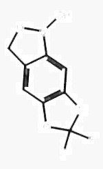 OB1OCc2cc3c(cc21)OC(F)(F)O3